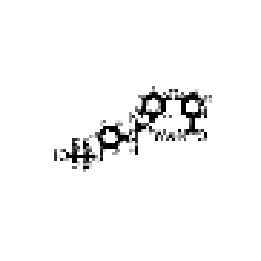 CNC(=O)c1cc(Oc2ccc3nc(Nc4cccc(OC(F)(F)C(O)(F)F)c4)sc3c2)ccn1